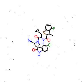 Cc1c(C(=O)NC(CC2CC2)C(=O)N2C[C@]3(C[C@H]2C#N)C(=O)Nc2ccc(Cl)cc23)sc2cccc(F)c12